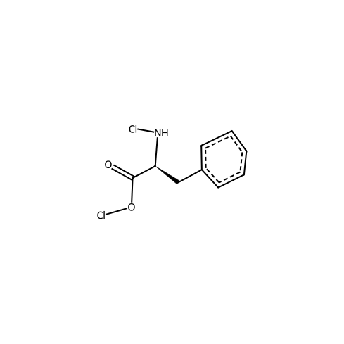 O=C(OCl)[C@H](Cc1ccccc1)NCl